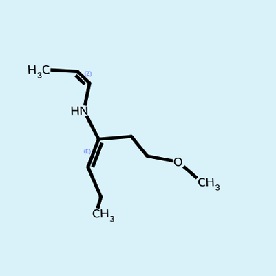 C/C=C\N/C(=C/CC)CCOC